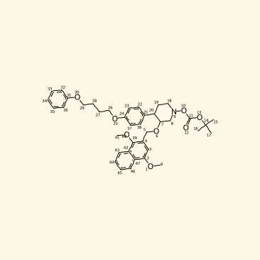 COc1cc(COC2CN(OC(=O)OC(C)(C)C)CCC2c2ccc(OCCCCOc3ccccc3)cc2)c(OC)c2ccccc12